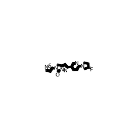 O=C1N(c2ccns2)Cc2cc(-c3ccc(N4CC[C@@H](F)C4)nc3)nn21